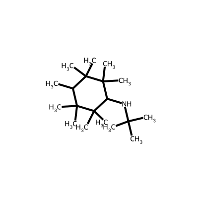 CC1C(C)(C)C(C)(C)C(NC(C)(C)C)C(C)(C)C1(C)C